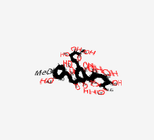 COc1ccc(-c2cc(=O)c3c(O)c(C4O[C@H](CO)[C@@H](O)[C@H](O)[C@H]4O)c(O)c(C4O[C@H](CO)[C@@H](O)[C@H](O)[C@H]4O)c3o2)cc1O